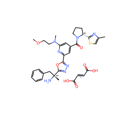 COCCN(C)c1cc(C(=O)N2CCC[C@@H]2c2nc(C)cs2)cc(-c2nnc([C@](C)(N)Cc3ccccc3)o2)n1.O=C(O)/C=C/C(=O)O